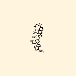 CCC(C)(C)COC(=O)[C@H](C)NP(=O)(OC[C@H]1O[C@@](C=NC)(c2ccc3c(N)ncnn23)[C@H](O)[C@@H]1O)Oc1ccc(C(C)(C)C)cc1